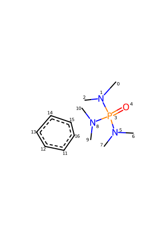 CN(C)P(=O)(N(C)C)N(C)C.c1ccccc1